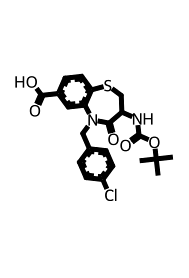 CC(C)(C)OC(=O)NC1CSc2ccc(C(=O)O)cc2N(Cc2ccc(Cl)cc2)C1=O